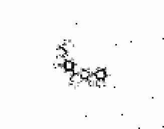 CC1[C@H](C)N(C(=O)c2ccc([S+]([O-])CC(=O)C(F)(F)F)c(Cl)c2)CCN1[C@H]1C=C(Cl)C=CC1